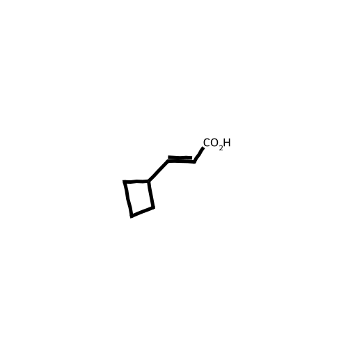 O=C(O)C=CC1CCC1